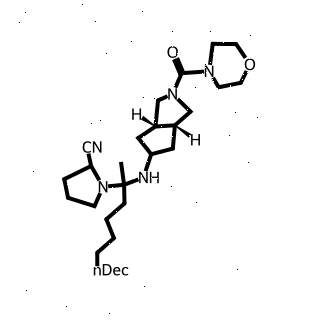 CCCCCCCCCCCCCCC(C)(NC1C[C@@H]2CN(C(=O)N3CCOCC3)C[C@@H]2C1)N1CCCC1C#N